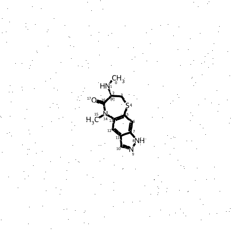 CN[C@H]1CSc2cc3[nH]ncc3cc2N(C)C1=O